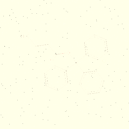 CCCC(=O)OC(c1ccccc1)(c1ccccc1)c1ccccc1Cl